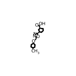 Cc1ccc(OCc2nnc(-c3cccc(C(=O)O)c3)o2)cc1